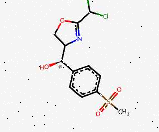 CS(=O)(=O)c1ccc([C@@H](O)C2COC(C(Cl)Cl)=N2)cc1